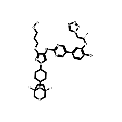 CC(C)OCCCOc1nn(C2CCC(N3[C@@H]4CC[C@H]3COC4)CC2)cc1Nc1ncc(-c2ccc(C#N)c(O[C@@H](C)Cn3cnnn3)c2)cn1